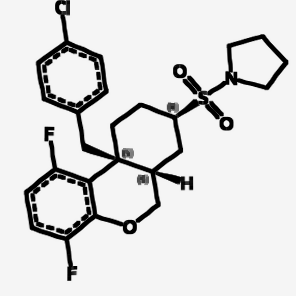 O=S(=O)([C@@H]1CC[C@@]2(Cc3ccc(Cl)cc3)c3c(F)ccc(F)c3OC[C@H]2C1)N1CCCC1